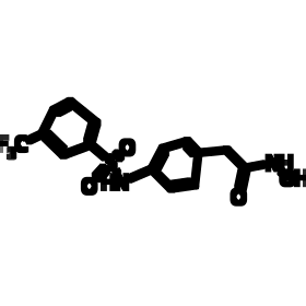 O=C(Cc1ccc(NS(=O)(=O)c2cccc(C(F)(F)F)c2)cc1)NO